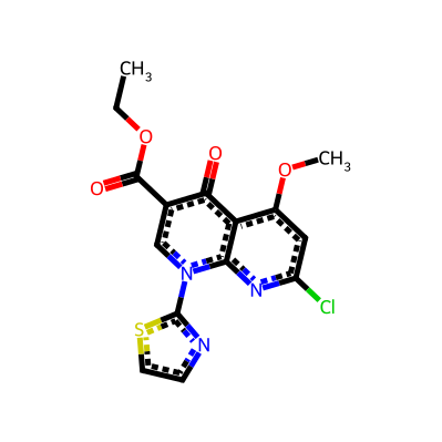 CCOC(=O)c1cn(-c2nccs2)c2nc(Cl)cc(OC)c2c1=O